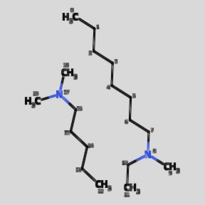 CCCCCCCCN(C)CC.CCCCCN(C)C